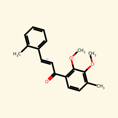 COc1c(C)ccc(C(=O)/C=C/c2ccccc2C)c1OC